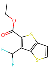 CCOC(=O)c1sc2ccsc2c1C(F)F